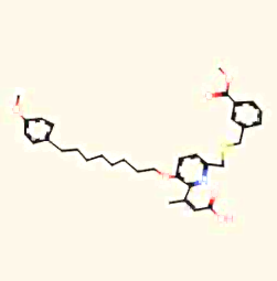 COC(=O)c1cccc(CSCc2ccc(OCCCCCCCCc3ccc(OC)cc3)c(/C(C)=C\C(=O)O)n2)c1